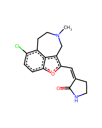 CN1CCc2c(Cl)ccc3oc(C=C4CCNC4=O)c(c23)C1